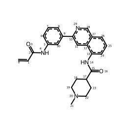 C=CC(=O)Nc1cccc(-c2cc3c(NC(=O)C4CCN(C)CC4)cccc3cn2)c1